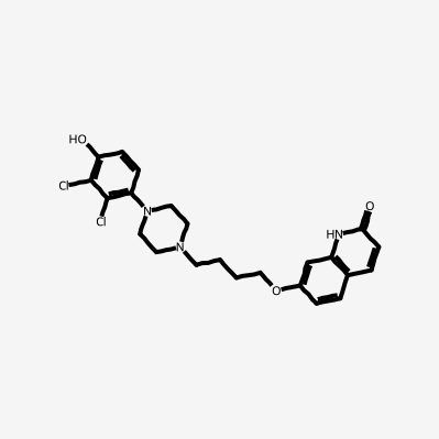 O=c1ccc2ccc(OCCCCN3CCN(c4ccc(O)c(Cl)c4Cl)CC3)cc2[nH]1